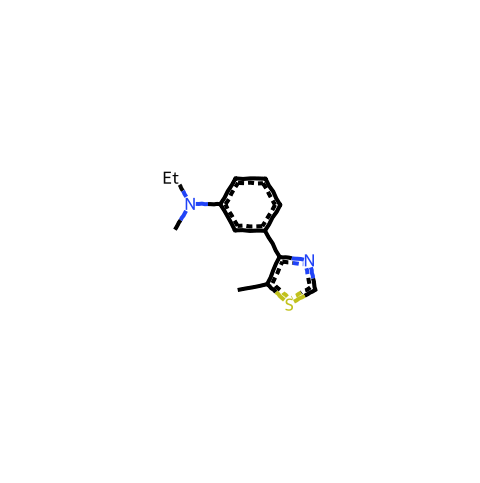 CCN(C)c1cccc(-c2ncsc2C)c1